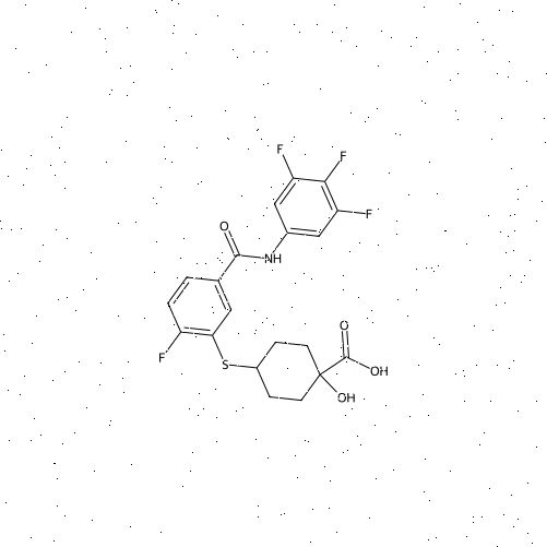 O=C(Nc1cc(F)c(F)c(F)c1)c1ccc(F)c(SC2CCC(O)(C(=O)O)CC2)c1